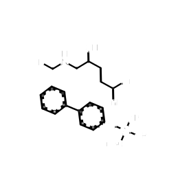 CCCC(CC)CCC(C)C[NH2+]CF.CCC[CH2][Al-]([CH2]CCC)([CH2]CCC)[CH2]CCC.c1ccc(-c2ccccc2)cc1